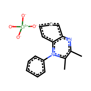 Cc1nc2ccccc2[n+](-c2ccccc2)c1C.[O-][Cl+3]([O-])([O-])[O-]